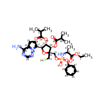 CCOC(=O)[C@H](C)N[P@](=O)(OC[C@@]1(CF)O[C@@H](c2ccc3c(N)ncnn23)[C@H](OC(=O)C(C)C)[C@@H]1OC(=O)C(C)C)Oc1ccccc1